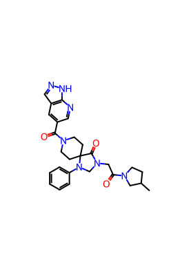 CC1CCN(C(=O)CN2CN(c3ccccc3)C3(CCN(C(=O)c4cnc5[nH]ncc5c4)CC3)C2=O)C1